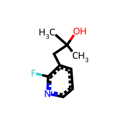 CC(C)(O)Cc1cccnc1F